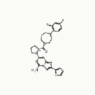 Nc1nc(N2CCC[C@H]2C(=O)N2CCCN(c3ccc(F)cc3F)CC2)nc2nc(-c3ccco3)nn12